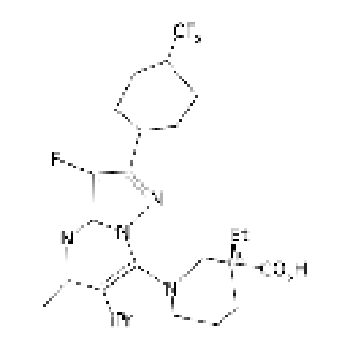 CC[C@@]1(C(=O)O)CCCN(c2c(C(C)C)c(C)nc3c(F)c(C4CCC(C(F)(F)F)CC4)nn23)C1